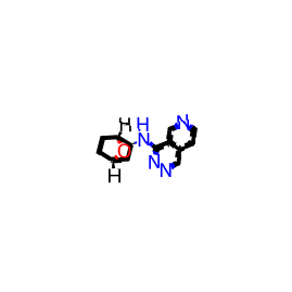 c1cc2cnnc(N[C@@H]3C[C@@H]4CC[C@H]3O4)c2cn1